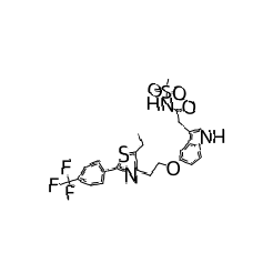 CCc1sc(-c2ccc(C(F)(F)F)cc2)nc1CCOc1ccc2[nH]cc(CC(=O)NS(C)(=O)=O)c2c1